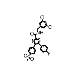 CS(=O)(=O)c1ccc(-c2nc(C(=O)NCc3cc(Cl)cc(Cl)c3)sc2-c2ccc(F)cc2)cc1